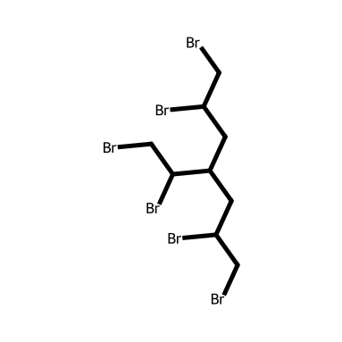 BrCC(Br)C[C](CC(Br)CBr)C(Br)CBr